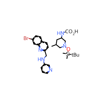 Brc1ccc2ccc(CNc3cccnc3)nc2c1.CC1CC(NC(=O)O)CN(O[Si](C)(C)C(C)(C)C)C1